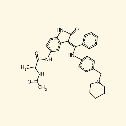 CC(=O)NC(C)C(=O)Nc1ccc2c(c1)C(=C(Nc1ccc(CN3CCCCC3)cc1)c1ccccc1)C(=O)N2